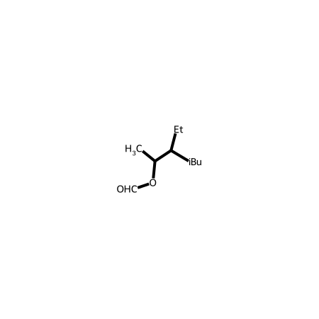 CCC(C)C(CC)C(C)OC=O